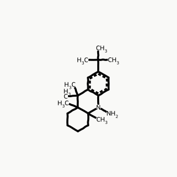 CC(C)(C)c1ccc2c(c1)C(C)(C)C1(C)CCCCC1(C)N2N